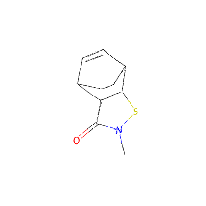 CN1SC2C3C=CC(CC3)C2C1=O